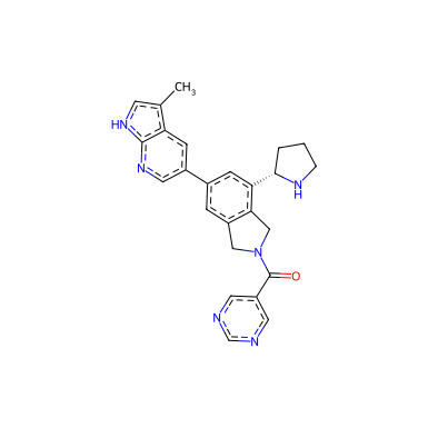 Cc1c[nH]c2ncc(-c3cc4c(c([C@@H]5CCCN5)c3)CN(C(=O)c3cncnc3)C4)cc12